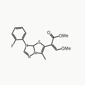 COC=C(C(=O)OC)C1=C(C)N2N=CN(c3ccccc3F)C2S1